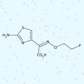 Nc1nc(/C(=N/OCCF)C(=O)O)cs1